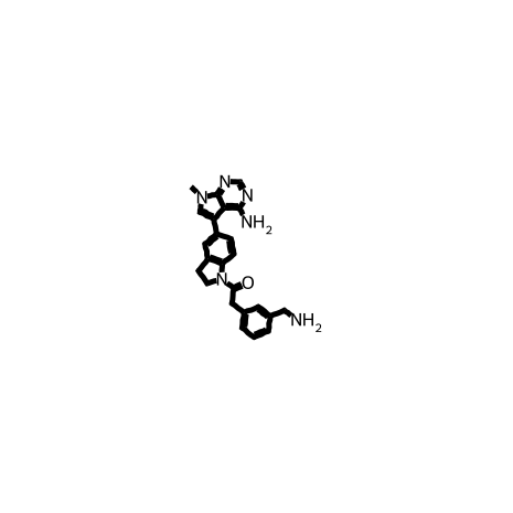 Cn1cc(-c2ccc3c(c2)CCN3C(=O)Cc2cccc(CN)c2)c2c(N)ncnc21